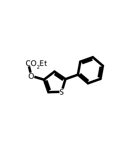 CCOC(=O)Oc1csc(-c2ccccc2)c1